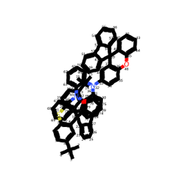 CC(C)(C)c1ccc2c(c1)C1(c3cc(C(C)(C)C)ccc3S2)c2ccccc2-c2ccc(N(c3ccc4c(c3)C3(c5ccccc5O4)c4ccccc4-c4ccccc43)c3ccccc3-n3c4ccccc4c4ccccc43)cc21